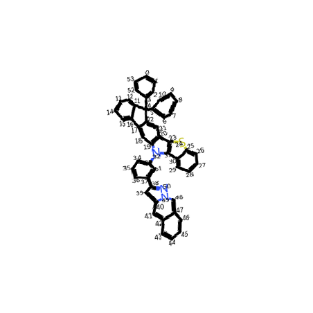 c1ccc(C2(c3ccccc3)c3ccccc3-c3cc4c(cc32)c2sc3ccccc3c2n4-c2cccc(-c3cc4cc5ccccc5cn4n3)c2)cc1